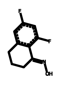 O/N=C1\CCCc2cc(F)cc(F)c21